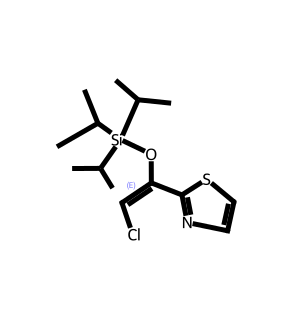 CC(C)[Si](O/C(=C/Cl)c1nccs1)(C(C)C)C(C)C